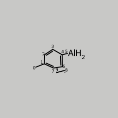 Cc1cc[c]([AlH2])cc1.[CH2]C